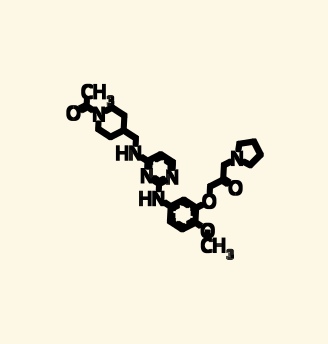 COc1ccc(Nc2nccc(NCC3CCN(C(C)=O)CC3)n2)cc1OCC(=O)CN1CCCC1